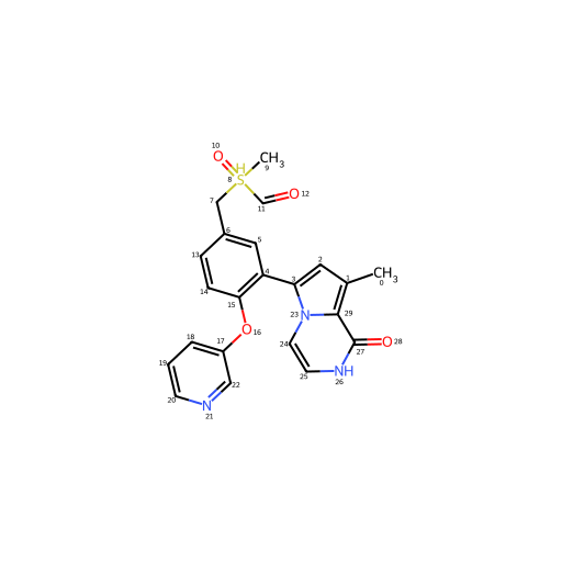 Cc1cc(-c2cc(C[SH](C)(=O)C=O)ccc2Oc2cccnc2)n2cc[nH]c(=O)c12